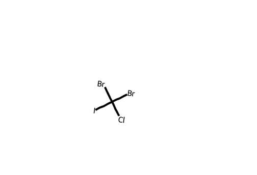 ClC(Br)(Br)I